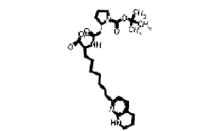 CC(C)(C)OC(=O)N1CCC[C@H]1CC(=O)NC(CCCCCCCc1ccc2c(n1)NCCC2)C(=O)O